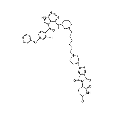 O=C1CCC(N2C(=O)c3ccc(N4CCN(CCCCCCN5CCCC(Nc6ncnc7[nH]cc(C(=O)c8ccc(Oc9ccccc9)cc8Cl)c67)C5)CC4)cc3C2=O)C(=O)N1